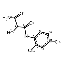 NC(=O)C(O)C(=O)Nc1ccc(Cl)cc1Cl